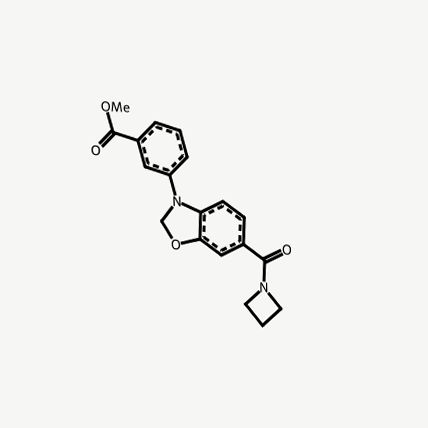 COC(=O)c1cccc(N2COc3cc(C(=O)N4CCC4)ccc32)c1